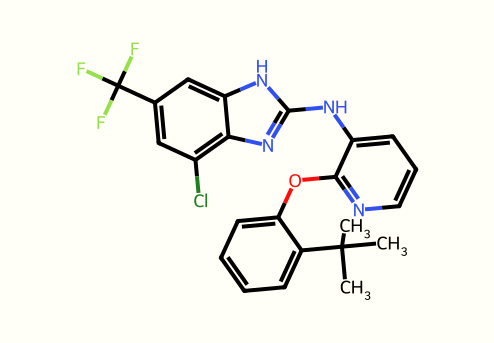 CC(C)(C)c1ccccc1Oc1ncccc1Nc1nc2c(Cl)cc(C(F)(F)F)cc2[nH]1